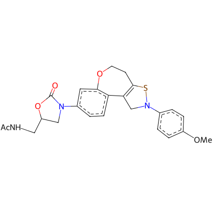 COc1ccc(N2CC3=C(CCOc4cc(N5CC(CNC(C)=O)OC5=O)ccc43)S2)cc1